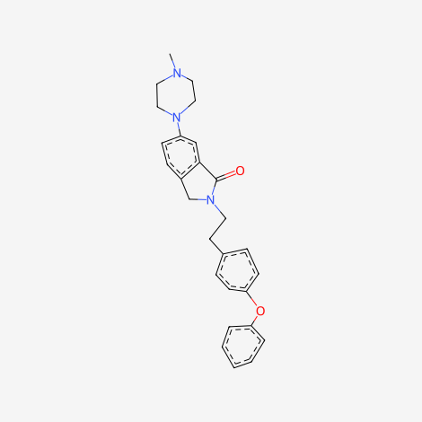 CN1CCN(c2ccc3c(c2)C(=O)N(CCc2ccc(Oc4ccccc4)cc2)C3)CC1